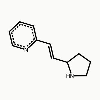 C(=C\C1CCCN1)/c1ccccn1